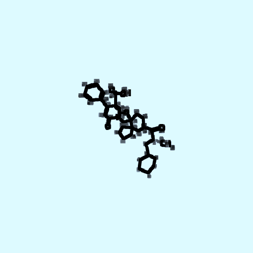 C[C@H](CC1CCCCC1)C(=O)N1CC[C@@](O)(Cn2cc(C(=O)O)c(-c3ccccc3)cc2=O)C2(CCCC2)C1